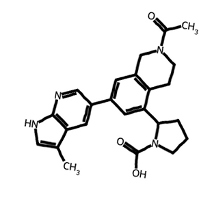 CC(=O)N1CCc2c(cc(-c3cnc4[nH]cc(C)c4c3)cc2C2CCCN2C(=O)O)C1